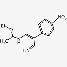 CCOC(C)N/C=C(\C=N)c1ccc([N+](=O)[O-])cc1